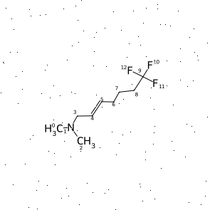 CN(C)CC=CCCCC(F)(F)F